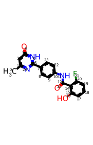 Cc1cc(=O)[nH]c(-c2ccc(NC(=O)c3c(O)cccc3F)cc2)n1